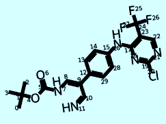 CC(C)(C)OC(=O)N/C=C(\C=N)c1ccc(Nc2nc(Cl)ncc2C(F)(F)F)cc1